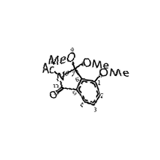 COc1cccc2c1C(OC)(OC)N(C(C)=O)C2=O